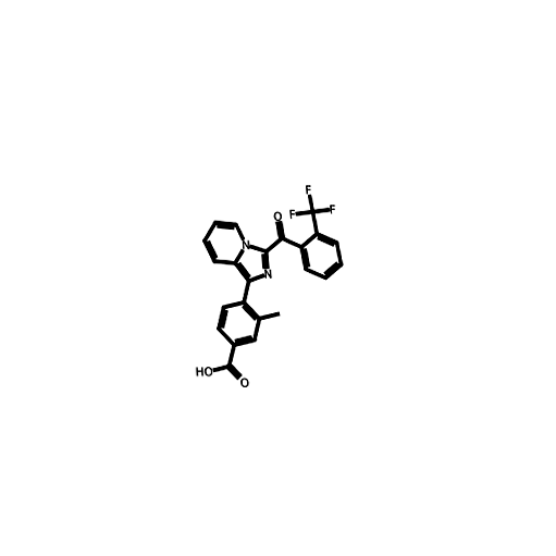 Cc1cc(C(=O)O)ccc1-c1nc(C(=O)c2ccccc2C(F)(F)F)n2ccccc12